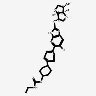 CCNC(=O)OC1CCC(c2ccc(-c3nc4[nH]c(O[C@@H]5CO[C@H]6[C@@H]5OC[C@H]6O)nc4cc3Cl)cc2)CC1